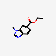 CCOC(=O)c1ccc2ncn(C)c2c1